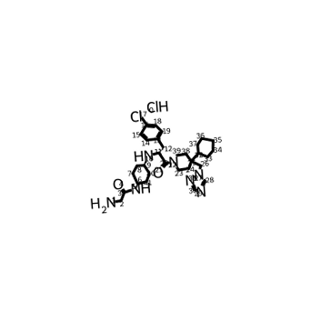 Cl.NCC(=O)N[C@H]1CC[C@@H](N[C@H](Cc2ccc(Cl)cc2)C(=O)N2CCC(Cn3cncn3)(C3CCCCC3)CC2)CC1